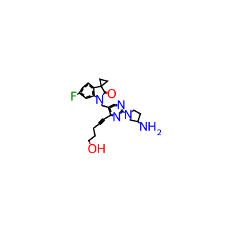 NC1CCN(c2ncc(CN3C(=O)C4(CC4)c4ccc(F)cc43)c(C#CCCCO)n2)C1